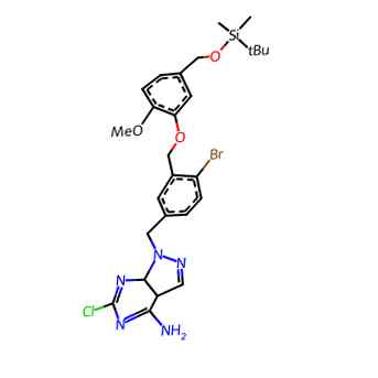 COc1ccc(CO[Si](C)(C)C(C)(C)C)cc1OCc1cc(CN2N=CC3C(N)=NC(Cl)=NC32)ccc1Br